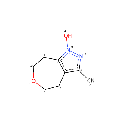 N#Cc1nn(O)c2c1CCOCC2